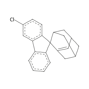 Clc1ccc2c(c1)-c1ccccc1C21C2=CC3CC(C2)CC1C3